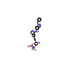 CN(C[C@H]1CN[C@H](C#Cc2cc3c(Nc4ccc5c(cnn5Cc5ccccc5)c4)ncnc3s2)C1)C(=O)O